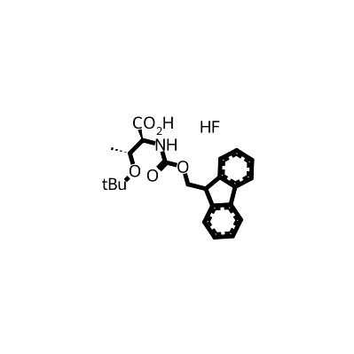 C[C@@H](OC(C)(C)C)[C@H](NC(=O)OCC1c2ccccc2-c2ccccc21)C(=O)O.F